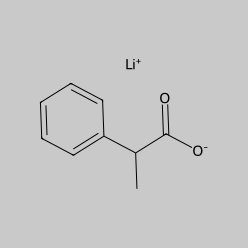 CC(C(=O)[O-])c1ccccc1.[Li+]